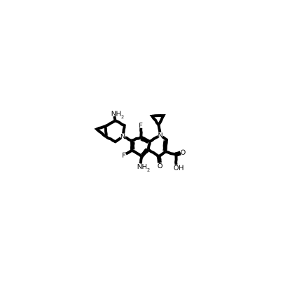 Nc1c(F)c(N2CC(N)C3CC3C2)c(F)c2c1c(=O)c(C(=O)O)cn2C1CC1